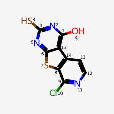 Oc1nc(S)nc2sc3c(Cl)nccc3c12